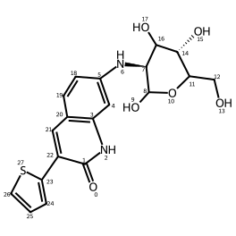 O=c1[nH]c2cc(N[C@@H]3C(O)OC(CO)[C@@H](O)C3O)ccc2cc1-c1cccs1